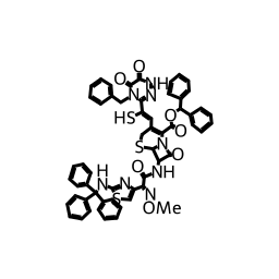 CON=C(C(=O)NC1C(=O)N2C(C(=O)OC(c3ccccc3)c3ccccc3)=C(C=C(S)c3n[nH]c(=O)c(=O)n3Cc3ccccc3)CSC12)c1csc(NC(c2ccccc2)(c2ccccc2)c2ccccc2)n1